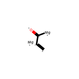 C=C[C](=O)[Mg].[Mg]